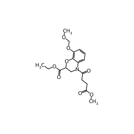 CCOC(=O)C1CN(C(=O)CCC(=O)OC)c2cccc(OCOC)c2O1